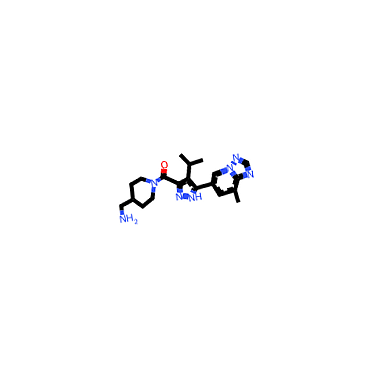 Cc1cc(-c2[nH]nc(C(=O)N3CCC(CN)CC3)c2C(C)C)cn2ncnc12